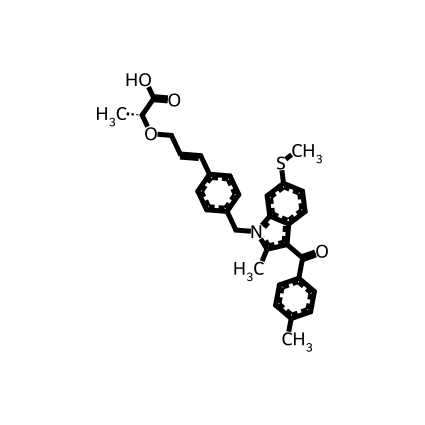 CSc1ccc2c(C(=O)c3ccc(C)cc3)c(C)n(Cc3ccc(/C=C/CO[C@H](C)C(=O)O)cc3)c2c1